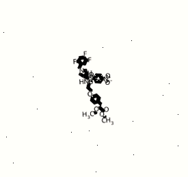 CCOC(=O)[C@H](Cc1ccc(OCCCN[C@@]2(S(=O)(=O)c3ccc([N+](=O)[O-])cc3)C3CN(Cc4cc(F)c(F)cc4F)C[C@H]32)cc1)OCC